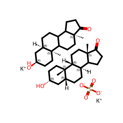 C[C@]12CCC3C(CC[C@@H]4C[C@H](O)CC[C@]34C)C1CCC2=O.C[C@]12CC[C@@H](O)C[C@H]1CC[C@@H]1C3CCC(=O)[C@@]3(C)CC[C@H]12.O=S(=O)([O-])[O-].[K+].[K+]